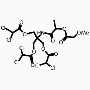 COCC(=O)OC(C)C(=O)NC(COC(=O)C(Cl)Cl)(COC(=O)C(Cl)Cl)COC(=O)C(Cl)Cl